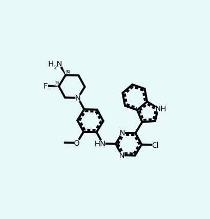 COc1cc(N2CC[C@H](N)[C@H](F)C2)ccc1Nc1ncc(Cl)c(-c2c[nH]c3ccccc23)n1